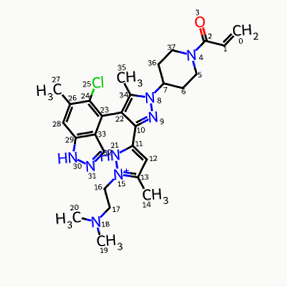 C=CC(=O)N1CCC(n2nc(-c3cc(C)[n+](CCN(C)C)[nH]3)c(-c3c(Cl)c(C)cc4[nH]ncc34)c2C)CC1